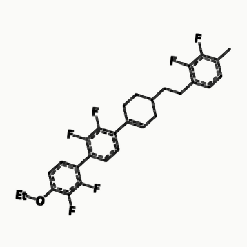 CCOc1ccc(-c2ccc(C3=CCC(CCc4ccc(C)c(F)c4F)CC3)c(F)c2F)c(F)c1F